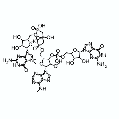 CNc1ncnc2c1ncn2[C@@H]1O[C@H](COP(=O)(O)CP(=O)(O)CP(=O)(O)OC[C@H]2O[C@@H](n3c[n+](C)c4c(=O)[nH]c(N)nc43)C(O)C2O)C(OP(=O)(O)OC[C@H]2O[C@@H](n3cnc4c(=O)[nH]c(N)nc43)C(O)C2O)C1OC